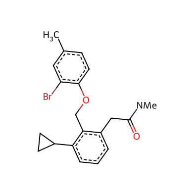 CNC(=O)Cc1cccc(C2CC2)c1COc1ccc(C)cc1Br